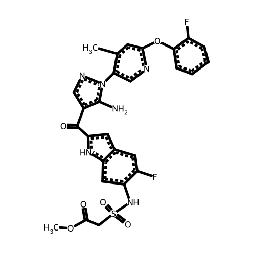 COC(=O)CS(=O)(=O)Nc1cc2[nH]c(C(=O)c3cnn(-c4cnc(Oc5ccccc5F)cc4C)c3N)cc2cc1F